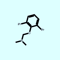 CC(C)c1cccc(C(C)C)c1OCN(C)C